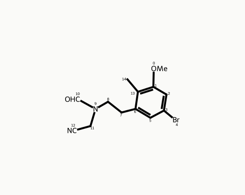 COc1cc(Br)cc(CCN(C=O)CC#N)c1C